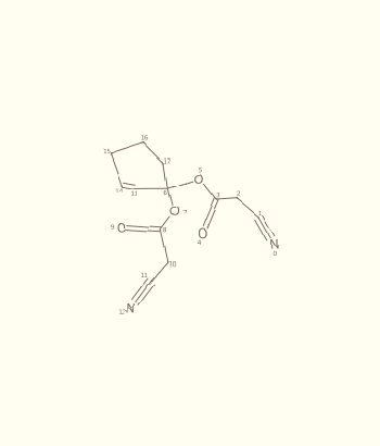 N#CCC(=O)OC1(OC(=O)CC#N)C=CCCC1